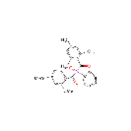 COc1ccc(C(=O)P(=O)(C(=O)c2c(C)cc(C)cc2C)c2ccccc2)c(OC)c1